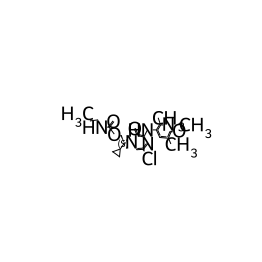 CCCNC(=O)OC[C@H](C1CC1)n1cc(Cl)nc(Nc2cc(C)c(OC)nc2C)c1=O